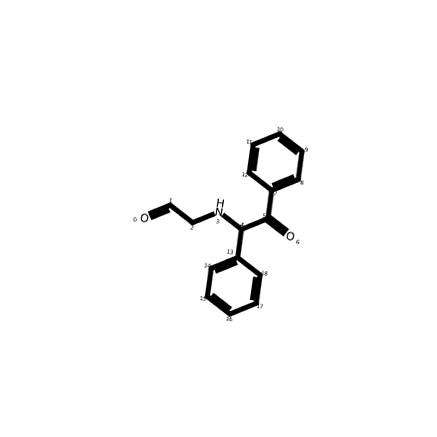 O=CCNC(C(=O)c1ccccc1)c1ccccc1